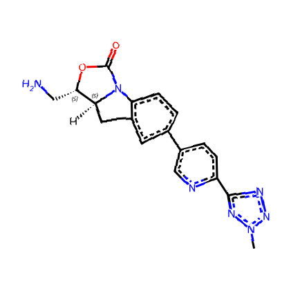 Cn1nnc(-c2ccc(-c3ccc4c(c3)C[C@H]3[C@H](CN)OC(=O)N43)cn2)n1